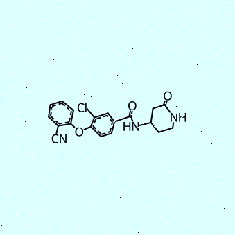 N#Cc1ccccc1Oc1ccc(C(=O)NC2CCNC(=O)C2)cc1Cl